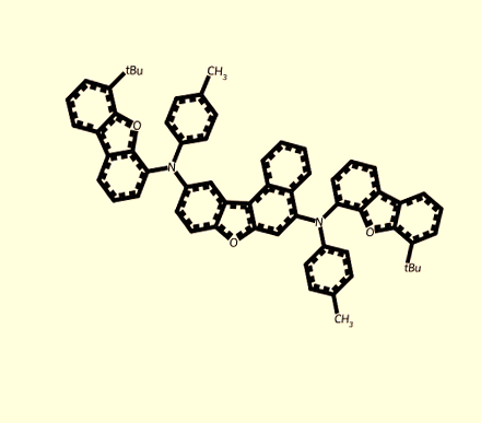 Cc1ccc(N(c2ccc3oc4cc(N(c5ccc(C)cc5)c5cccc6c5oc5c(C(C)(C)C)cccc56)c5ccccc5c4c3c2)c2cccc3c2oc2c(C(C)(C)C)cccc23)cc1